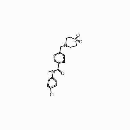 O=C(Nc1ccc(Cl)cc1)c1ccc(CN2CCS(=O)(=O)CC2)cc1